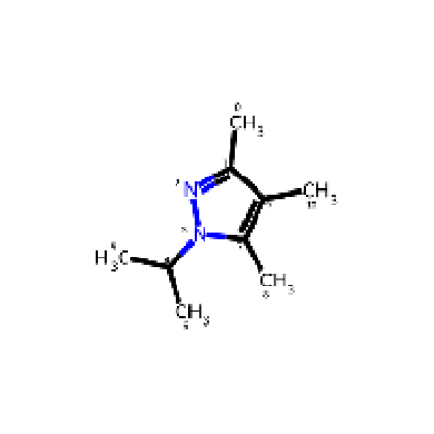 Cc1nn(C(C)C)c(C)c1C